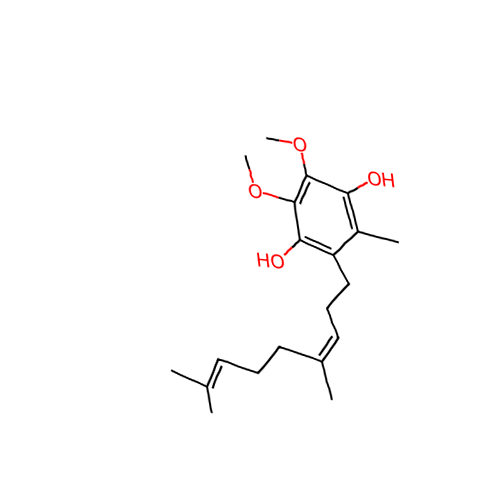 COc1c(O)c(C)c(CCC=C(C)CCC=C(C)C)c(O)c1OC